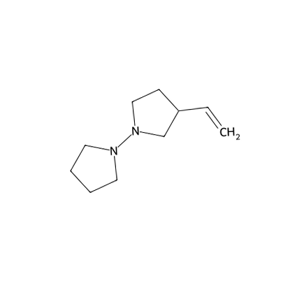 C=CC1CCN(N2CCCC2)C1